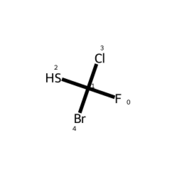 FC(S)(Cl)Br